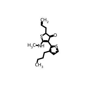 C=CCC1SC(NC)=C(c2sccc2CCCC)C1=O